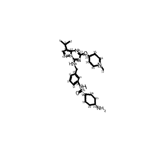 CC(C)c1cnn2c(NCc3cccc(NC(=O)[C@H]4CC[C@@H](N)CC4)c3)nc(OC3CCN(C)CC3)nc12